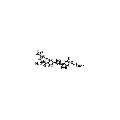 COCCOc1cc2[nH]nc(-c3cc(-c4ccc(C(=O)N5CCN(C6COC6)CC5C)cc4)no3)c2cc1F